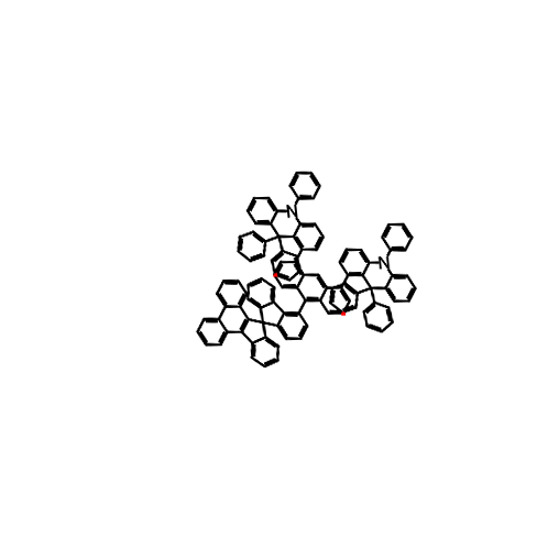 c1ccc(N2c3ccccc3C(c3ccccc3)(c3ccccc3)c3c(-c4cccc5c(-c6cccc7c6-c6ccccc6C76c7ccccc7-c7c6c6ccccc6c6ccccc76)c6cccc(-c7cccc8c7C(c7ccccc7)(c7ccccc7)c7ccccc7N8c7ccccc7)c6cc45)cccc32)cc1